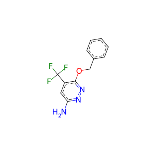 Nc1cc(C(F)(F)F)c(OCc2ccccc2)nn1